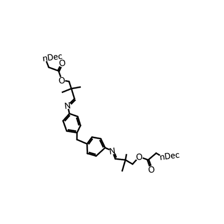 CCCCCCCCCCCC(=O)OCC(C)(C)C=Nc1ccc(Cc2ccc(N=CC(C)(C)COC(=O)CCCCCCCCCCC)cc2)cc1